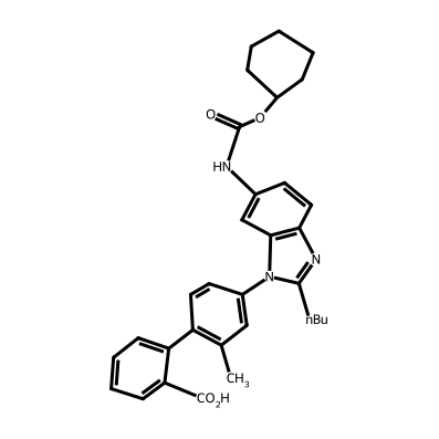 CCCCc1nc2ccc(NC(=O)OC3CCCCC3)cc2n1-c1ccc(-c2ccccc2C(=O)O)c(C)c1